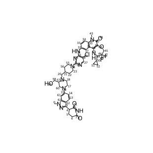 Cn1nc(C2CCC(=O)NC2=O)c2ccc(N3CCN(CC4CCN(c5ncc(Cl)c(Nc6ccc7c(c6)c6c(c(=O)n7C)OCC(F)(F)C(C7CC7)N6)n5)CC4)C(CO)C3)cc21